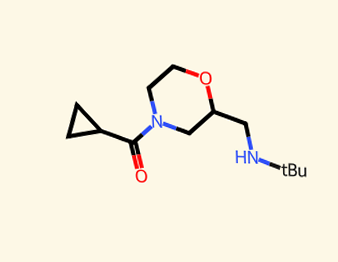 CC(C)(C)NCC1CN(C(=O)C2CC2)CCO1